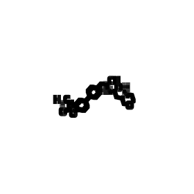 Cn1c(=O)oc2ccc(-c3ccc(C[C@@H](C#N)NC(=O)CC4COCCN4)cc3)cc21